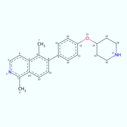 Cc1nccc2c(C)c(-c3ccc(OC4CCNCC4)cc3)ccc12